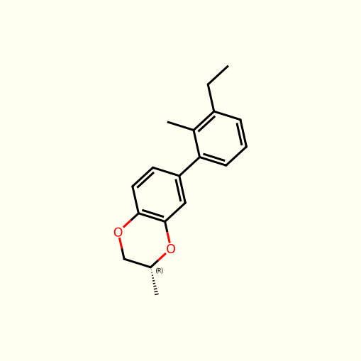 CCc1cccc(-c2ccc3c(c2)O[C@H](C)CO3)c1C